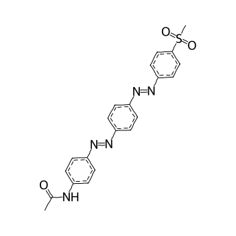 CC(=O)Nc1ccc(N=Nc2ccc(N=Nc3ccc(S(C)(=O)=O)cc3)cc2)cc1